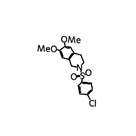 COc1cc2c(cc1OC)CN(S(=O)(=O)c1ccc(Cl)cc1)CC2